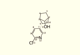 OC1C2CCC1[C@@H](c1ccc(Cl)nc1)C2